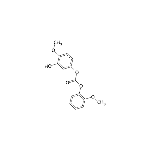 COc1ccc(OC(=O)Oc2ccccc2OC)cc1O